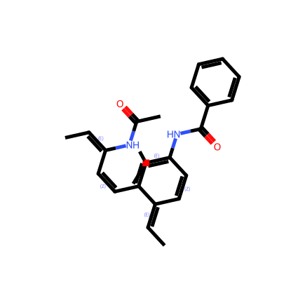 CC=C(/C=C\C(=C/C)NC(C)=O)C(/C=C\C(=C/C)NC(=O)c1ccccc1)=C/C